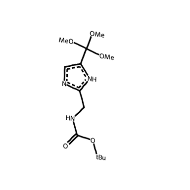 COC(OC)(OC)c1cnc(CNC(=O)OC(C)(C)C)[nH]1